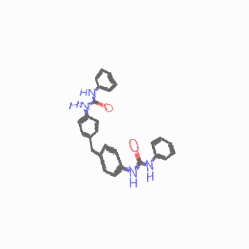 O=C(Nc1ccccc1)Nc1ccc(Cc2ccc(NC(=O)Nc3ccccc3)cc2)cc1